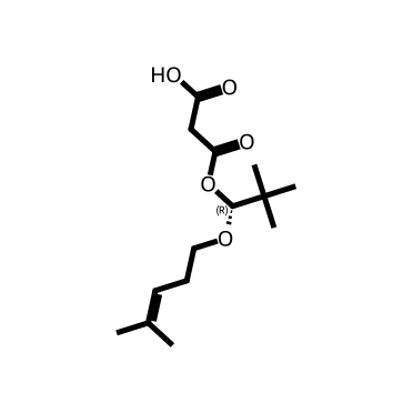 CC(C)=CCCO[C@H](OC(=O)CC(=O)O)C(C)(C)C